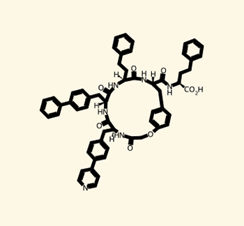 O=C1COc2ccc(cc2)C[C@@H](C(=O)N[C@@H](CCc2ccccc2)C(=O)O)NC(=O)[C@H](CCc2ccccc2)NC(=O)[C@@H](Cc2ccc(-c3ccccc3)cc2)NC(=O)[C@H](Cc2ccc(-c3ccncc3)cc2)N1